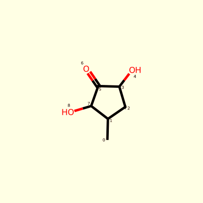 CC1[CH]C(O)C(=O)C1O